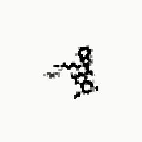 COCCCCn1c(C(=O)N(CC(C)C)[C@@H]2CNC[C@H](C#N)C2)nc2ccccc21.Cl.Cl